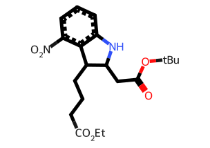 CCOC(=O)CCCC1c2c(cccc2[N+](=O)[O-])NC1CC(=O)OC(C)(C)C